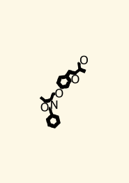 C=C(C=O)c1cc2ccc(OCc3nc(-c4ccccc4)oc3C)cc2o1